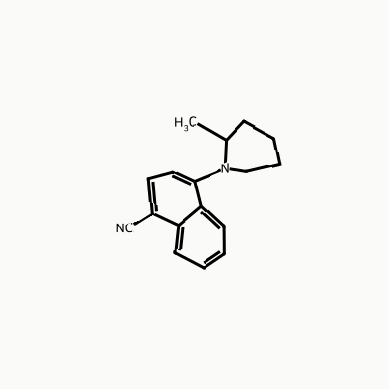 CC1CCCCN1c1ccc(C#N)c2ccccc12